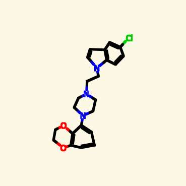 Clc1ccc2c(ccn2CCN2CCN(c3cccc4c3OCCO4)CC2)c1